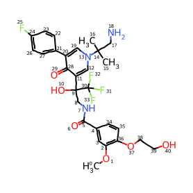 COc1cc(C(=O)NCC(O)(c2cn(C(C)(C)CN)cc(-c3ccc(F)cc3)c2=O)C(F)(F)F)ccc1OCCO